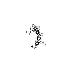 CCC[C@@]1(c2ccc(C(=O)N3CCN(c4ncc(C)cc4C)CC3)cc2)NC(=O)NC1=O